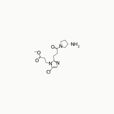 COC(=O)CCn1c(Cl)cnc1CCC(=O)N1CC[C@H](N)C1